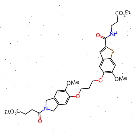 CCOC(=O)CCNC(=O)c1cc2cc(OCCCOc3cc4c(cc3OC)CN(C(=O)CCC(=O)OCC)C4)c(OC)cc2s1